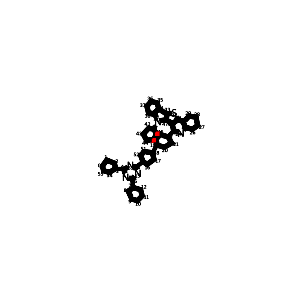 c1ccc(-c2nc(-c3ccccc3)nc(-c3ccc(-c4ccc(-c5nc6ccccc6c6sc7c8ccccc8n(-c8ccccc8)c7c56)cc4)cc3)n2)cc1